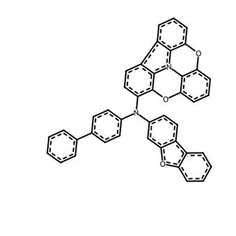 c1ccc(-c2ccc(N(c3ccc4c(c3)oc3ccccc34)c3ccc4c5cccc6c5n5c4c3Oc3cccc(c3-5)O6)cc2)cc1